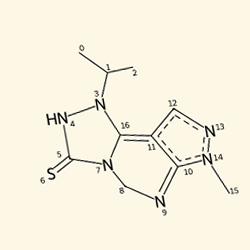 CC(C)N1NC(=S)N2CN=c3c(cnn3C)=C21